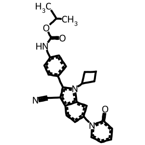 CC(C)OC(=O)Nc1ccc(-c2c(C#N)c3ccc(-n4ccccc4=O)cc3n2C2CCC2)cc1